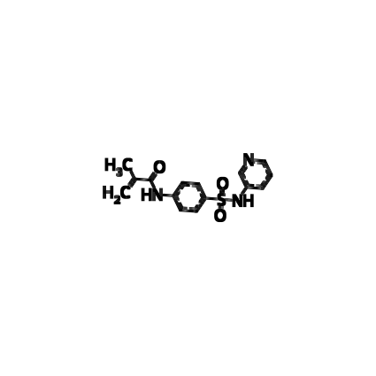 C=C(C)C(=O)Nc1ccc(S(=O)(=O)Nc2cccnc2)cc1